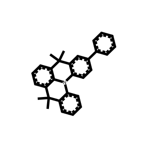 CC1(C)c2ccccc2N2c3ccc(-c4ccccc4)cc3C(C)(C)c3cccc1c32